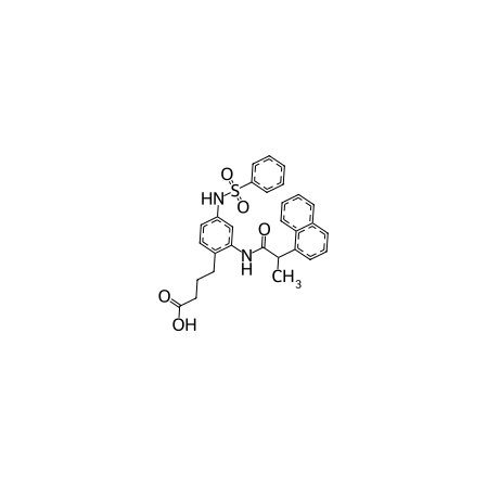 CC(C(=O)Nc1cc(NS(=O)(=O)c2ccccc2)ccc1CCCC(=O)O)c1cccc2ccccc12